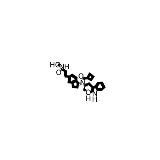 O=C(C=Cc1ccc2c(c1)CC[C@H]2N(C(=O)C1CCC1)[C@H](CO)Cc1c[nH]c2ccccc12)NO